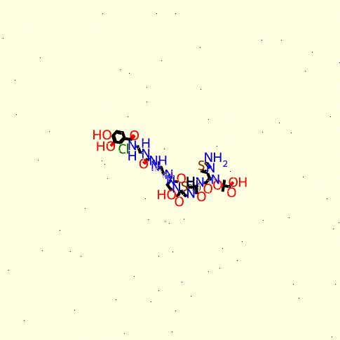 CC(C)(O/N=C(\C(=O)N[C@@H]1C(=O)N2C[C@@](C(=O)O)(N3CCN(/N=C/C=N/NC(=O)NCCNC(=O)c4ccc(O)c(O)c4Cl)C3=O)S[C@H]12)c1csc(N)n1)C(=O)O